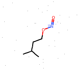 CC(C)CCO[15N]=O